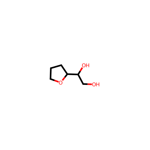 OCC(O)C1CCCO1